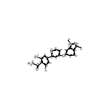 CCc1cc(-c2cc(Oc3ccc4c(C)nn(C)c4c3)ccn2)cc(F)c1C(N)=O